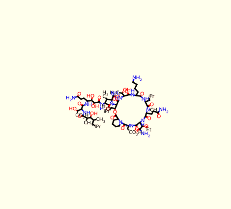 CCOC(C(N)=O)C1NC(=O)C(CCC(N)=O)N(C)C(=O)C(CC(C)C)NC(=O)C(CCCCN)NC(=O)C(C(C)O)NC(=O)C(N2C(=O)C(NC(=O)C(O)C(O)C(CCC(N)=O)NC(=O)C(NC(=O)C(C)C(O)C(C)CC(C)C)C(O)C(=O)O)C(C)C2C(N)=O)C(C(C)C(C)C)OC(=O)C2CCCCN2C(=O)C(CC(=O)O)NC1=O